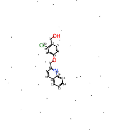 OCc1ccc(OCc2ccc3ccccc3n2)cc1Cl